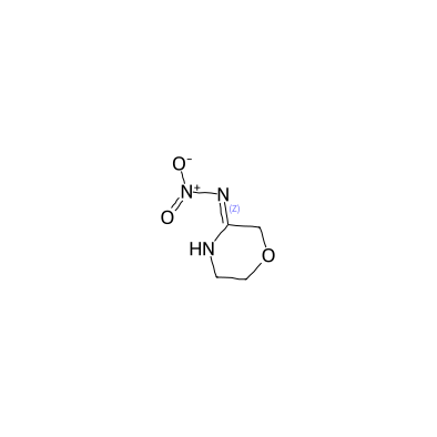 O=[N+]([O-])/N=C1/COCCN1